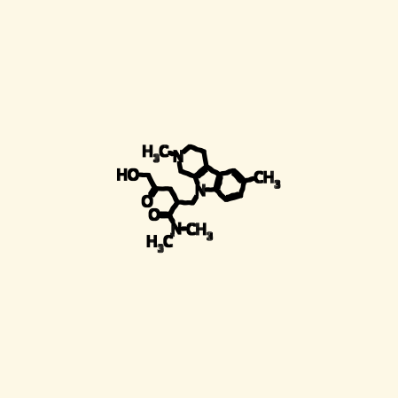 Cc1ccc2c(c1)c1c(n2CC(CC(=O)CO)C(=O)N(C)C)CN(C)CC1